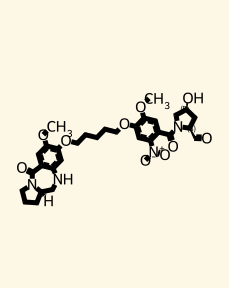 COc1cc2c(cc1OCCCCCOc1cc([N+](=O)[O-])c(C(=O)N3C[C@H](O)C[C@H]3C=O)cc1OC)NC[C@@H]1CCCN1C2=O